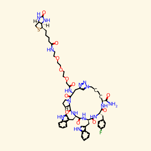 NC(=O)[C@@H]1CCCCn2cc(nn2)C[C@H](NC(=O)COCCOCCOCCNC(=O)CCCC[C@H]2SC[C@H]3NC(=O)N[C@H]32)C(=O)N2CCC[C@@H]2C(=O)N[C@H](Cc2c[nH]c3ccccc23)C(=O)N[C@H](Cc2c[nH]c3ccccc23)C(=O)N[C@@H](Cc2ccc(F)cc2)C(=O)N1